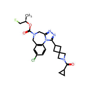 C[C@H](CF)OC(=O)N1Cc2cc(Cl)ccc2-n2c(nnc2C2CC3(C2)CN(C(=O)C2CC2)C3)C1